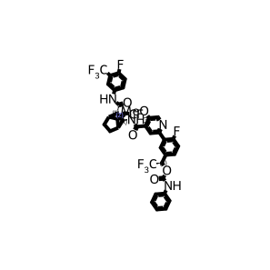 COc1cnc(-c2cc([C@H](OC(=O)Nc3ccccc3)C(F)(F)F)ccc2F)cc1C(=O)N[C@@H]1C2CCC(/C2=C/C(F)(F)F)[C@@H]1C(=O)Nc1ccc(F)c(C(F)(F)F)c1